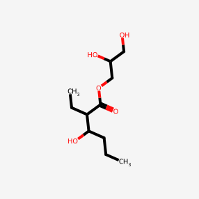 CCCC(O)C(CC)C(=O)OCC(O)CO